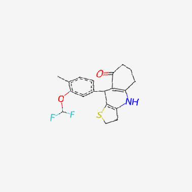 Cc1ccc(C2C3=C(CCS3)NC3=C2C(=O)CCC3)cc1OC(F)F